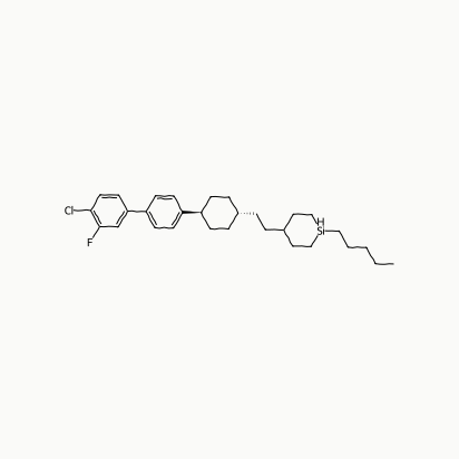 CCCCC[SiH]1CCC(CC[C@H]2CC[C@H](c3ccc(-c4ccc(Cl)c(F)c4)cc3)CC2)CC1